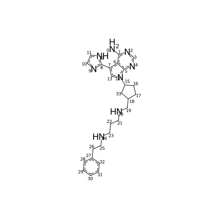 Nc1ncnc2c1c(-c1ncc[nH]1)cn2C1CCC(CNCCCNCCc2ccccc2)C1